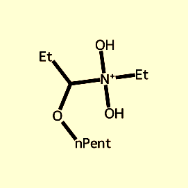 CCCCCOC(CC)[N+](O)(O)CC